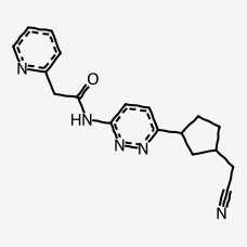 N#CCC1CCC(c2ccc(NC(=O)Cc3ccccn3)nn2)C1